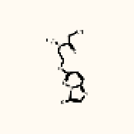 CN(CCNc1ccc2ncc(Br)n2n1)C(=O)CC#N